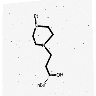 CCCC[C@@H](O)CCN1CCN(CC)CC1